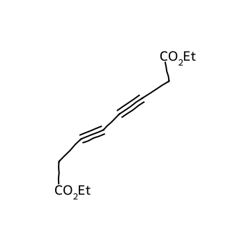 CCOC(=O)CC#CC#CCC(=O)OCC